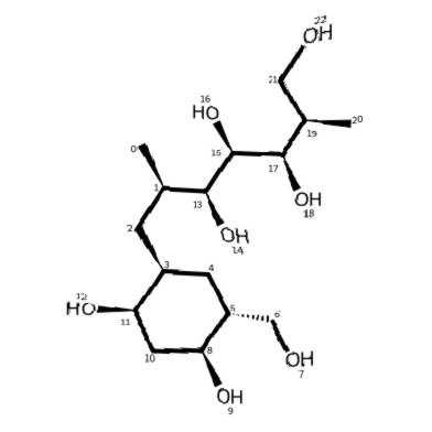 C[C@H](C[C@H]1C[C@H](CO)[C@@H](O)C[C@H]1O)[C@H](O)[C@@H](O)[C@H](O)[C@H](C)CO